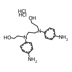 Cl.Cl.Nc1ccc(N(CCO)CCN(CCO)c2ccc(N)cc2)cc1